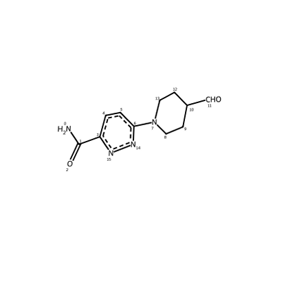 NC(=O)c1ccc(N2CCC(C=O)CC2)nn1